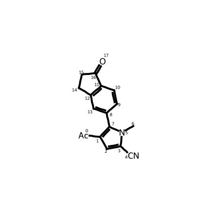 CC(=O)c1cc(C#N)n(C)c1-c1ccc2c(c1)CCC2=O